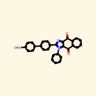 O=Cc1ccc(-c2ccc(-c3nc4c(n3-c3ccccc3)C(=O)c3ccccc3C4=O)cc2)cc1